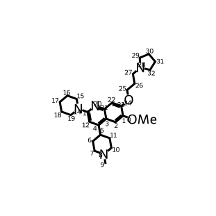 COc1cc2c(C3CCN(C)CC3)cc(N3CCCCC3)nc2cc1OCCCN1CCCC1